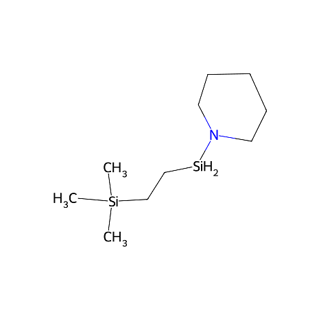 C[Si](C)(C)CC[SiH2]N1CCCCC1